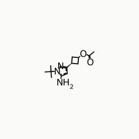 CC(=O)O[C@H]1C[C@@H](c2cc(N)n(C(C)(C)C)n2)C1